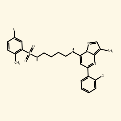 Bc1cnn2c(NCCCCNS(=O)(=O)c3cc(F)ccc3C)cc(-c3ccccc3Cl)nc12